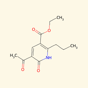 CCCc1[nH]c(=O)c(C(C)=O)cc1C(=O)OCC